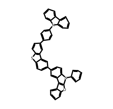 c1ccc(-n2c3ccc(-c4ccc5sc6ccc(-c7ccc(-n8c9ccccc9c9ccccc98)cc7)cc6c5c4)cc3c3c4ccccc4oc32)cc1